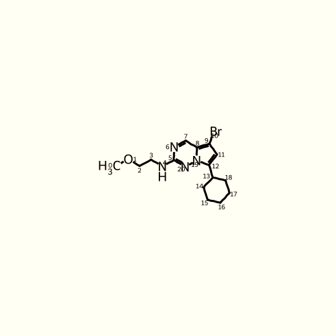 COCCNc1ncc2c(Br)cc(C3CCCCC3)n2n1